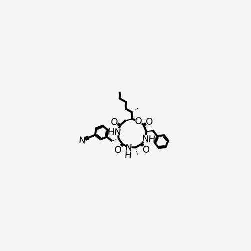 CCCC[C@H](C)[C@@H]1CC(=O)N[C@@H](Cc2cccc(C#N)c2)C(=O)N[C@@H](C)C(=O)N[C@H](Cc2ccccc2)C(=O)O1